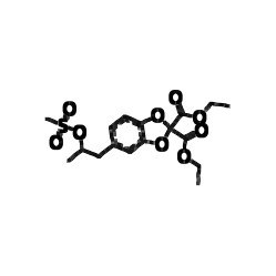 CCOC(=O)C1(C(=O)OCC)Oc2ccc(CC(C)OS(C)(=O)=O)cc2O1